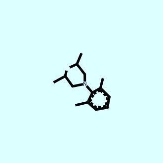 Cc1c[c]cc(C)c1N(CC(C)C)CC(C)C